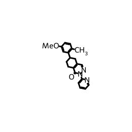 COc1ccc(C)c(C2CCc3c(cnn(-c4ccccn4)c3=O)C2)c1